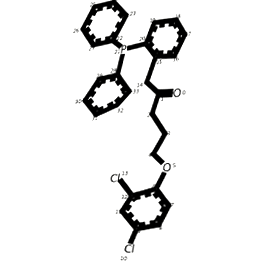 O=C(CCCOc1ccc(Cl)cc1Cl)Cc1ccccc1P(c1ccccc1)c1ccccc1